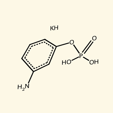 Nc1cccc(OP(=O)(O)O)c1.[KH]